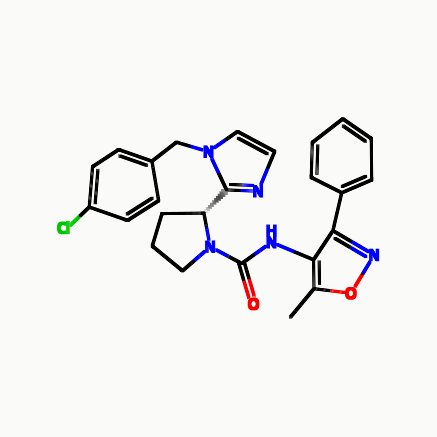 Cc1onc(-c2ccccc2)c1NC(=O)N1CCC[C@@H]1c1nccn1Cc1ccc(Cl)cc1